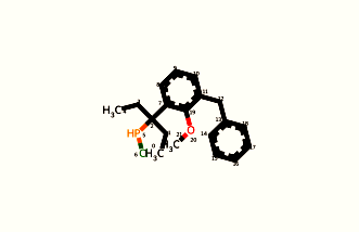 CCC(CC)(PCl)c1cccc(Cc2ccccc2)c1OC